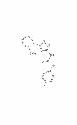 COc1ccccc1-c1nnc(NC(=O)Nc2ccc(F)cc2)s1